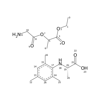 CCOC(=O)C(C)OC(=O)CN.Cc1cc(C)c(N[C@@H](C)C(=O)O)c(C)c1